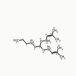 CCC[SiH2]OC(O[SiH2]C=C(C)C)O[SiH2]C=C(C)C